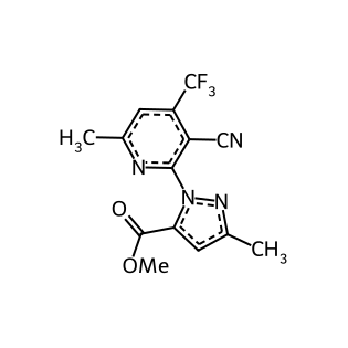 COC(=O)c1cc(C)nn1-c1nc(C)cc(C(F)(F)F)c1C#N